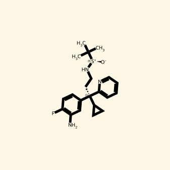 CC(C)(C)[S@+]([O-])NCC[C@](c1ccc(F)c(N)c1)(c1ccccn1)C1CC1